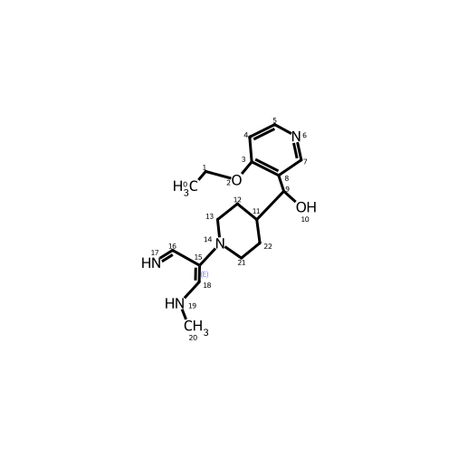 CCOc1ccncc1C(O)C1CCN(/C(C=N)=C/NC)CC1